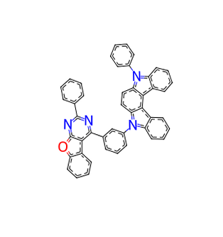 c1ccc(-c2nc(-c3cccc(-n4c5ccccc5c5c6c7ccccc7n(-c7ccccc7)c6ccc54)c3)c3c(n2)oc2ccccc23)cc1